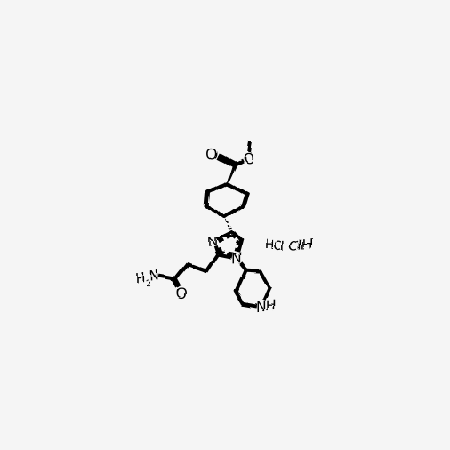 COC(=O)[C@H]1CC[C@H](c2cn(C3CCNCC3)c(CCC(N)=O)n2)CC1.Cl.Cl